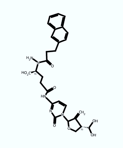 C=C1C(n2ccc(NC(=O)CC[C@@H](C(=O)O)N(N)C(=O)CCc3ccc4ccccc4c3)nc2=O)OC[C@H]1C(O)O